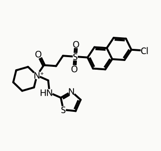 O=C(CCS(=O)(=O)c1ccc2cc(Cl)ccc2c1)[N+]1(CNc2nccs2)CCCCC1